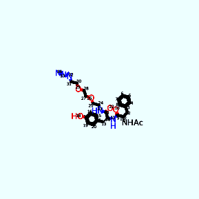 CC(=O)N[C@@H](Cc1ccccc1)C(=O)N[C@@H](Cc1ccc(O)cc1)C(=O)NCCOCCOCCN=[N+]=[N-]